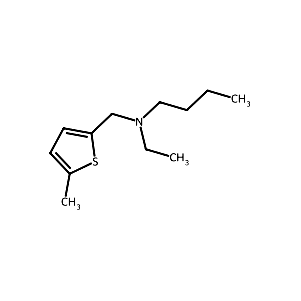 CCCCN(CC)Cc1ccc(C)s1